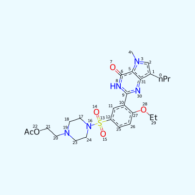 CCCc1cn(C)c2c(=O)[nH]c(-c3cc(S(=O)(=O)N4CCN(CCOC(C)=O)CC4)ccc3OCC)nc12